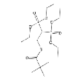 CCOP(=O)(OCC)C(CSC(=O)C(C)(C)C)P(=O)(OCC)OCC